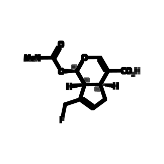 CNC(=O)O[C@H]1OC=C(C(=O)O)[C@H]2CC=C(CF)[C@H]12